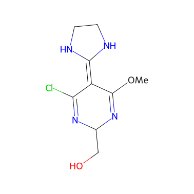 COC1=NC(CO)N=C(Cl)C1=C1NCCN1